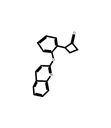 O=C1CCC1c1ccccc1Oc1ccc2ccccc2n1